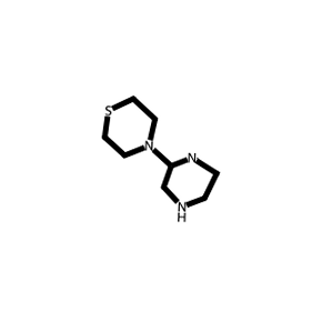 C1CNCC(N2CCSCC2)[N]1